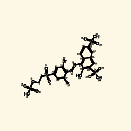 O=S(=O)(O)OCCS(=O)(=O)c1cc(Br)c(/N=N/c2c(O)c(S(=O)(=O)O)cc3cc(S(=O)(=O)O)ccc23)c(Br)c1